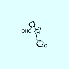 O=Cc1ccccc1C(=O)NCCC1=CC2OC2C=C1